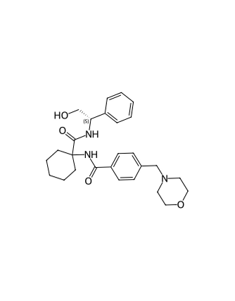 O=C(NC1(C(=O)N[C@H](CO)c2ccccc2)CCCCC1)c1ccc(CN2CCOCC2)cc1